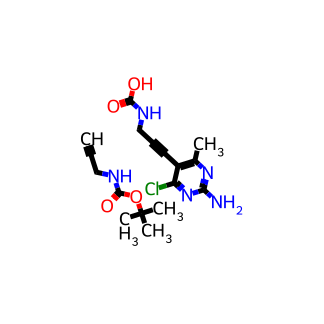 C#CCNC(=O)OC(C)(C)C.Cc1nc(N)nc(Cl)c1C#CCNC(=O)O